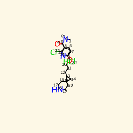 CN(C)C(=O)c1ccc(OCCCC2CC23CCNCC3)nc1Cl.Cl